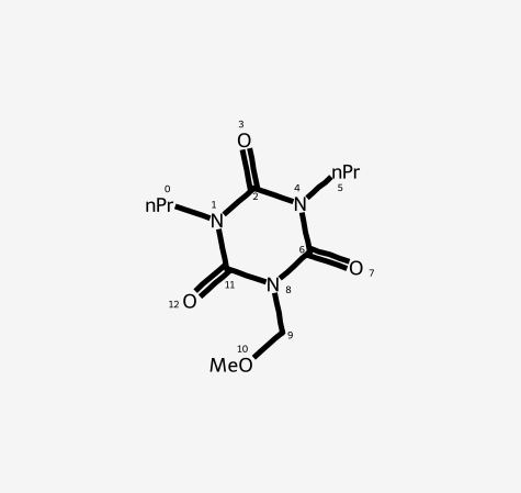 CCCn1c(=O)n(CCC)c(=O)n(COC)c1=O